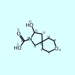 O=C(O)N1CC2(CCOCC2)CC1O